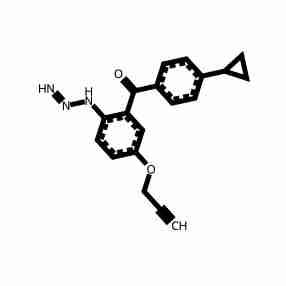 C#CCOc1ccc(NN=N)c(C(=O)c2ccc(C3CC3)cc2)c1